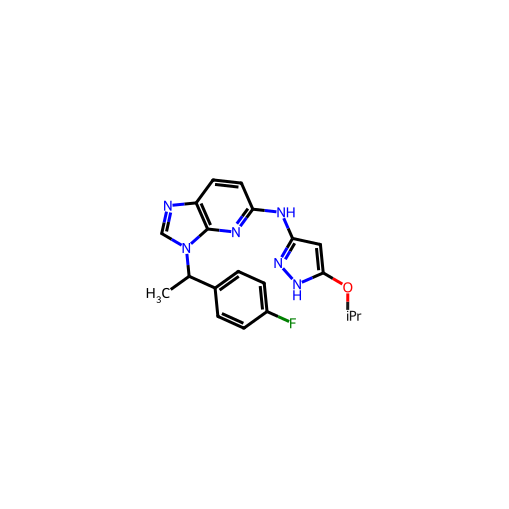 CC(C)Oc1cc(Nc2ccc3ncn(C(C)c4ccc(F)cc4)c3n2)n[nH]1